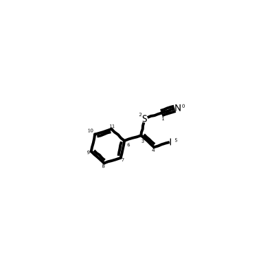 N#CSC(=CI)c1ccccc1